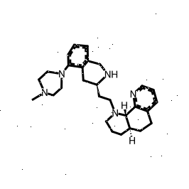 CN1CCN(c2cccc3c2C[C@H](CCN2CCC[C@@H]4CCc5cccnc5[C@H]42)NC3)CC1